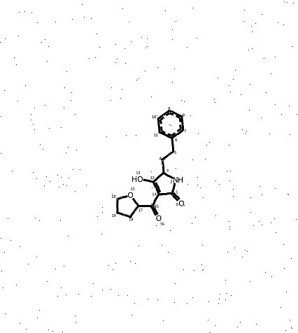 O=C1NC(CCc2ccccc2)C(O)=C1C(=O)C1CCCO1